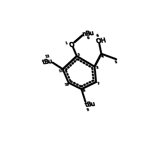 CCCCOc1c(C(C)O)cc(C(C)(C)C)cc1C(C)(C)C